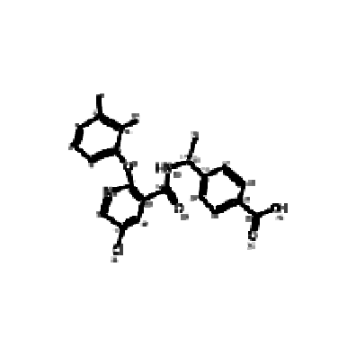 Cc1cccc(Oc2ncc(Cl)cc2C(=O)N[C@@H](C)c2ccc(C(=O)O)cc2)c1C